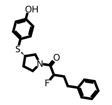 O=C(C(F)CCc1ccccc1)N1CC[C@H](Sc2ccc(O)cc2)C1